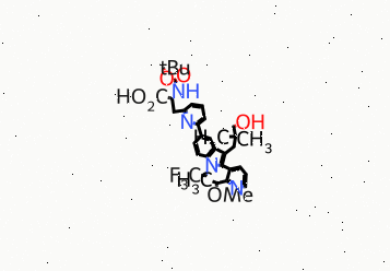 COC(C)c1ncccc1-c1c(CC(C)(C)CO)c2cc(-c3cccc(CC(NC(=O)OC(C)(C)C)C(=O)O)n3)ccc2n1CC(F)(F)F